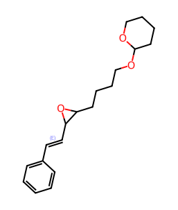 C(=C\C1OC1CCCCOC1CCCCO1)/c1ccccc1